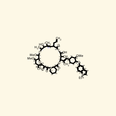 C=CCC1/C=C(\C)C(O)C(C)CC(OC)C2OC(O)(C(=O)C(=O)N3CCCCC3C(=O)OC(C(C)=CC3CCC(Oc4ccc5c(ccn5CC)c4)C(OC)C3)C(C)C(O)CC1=O)C(C)CC2OC